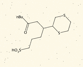 CCCCC(=O)CC(CCCS(=O)(=O)O)C1CSCCS1